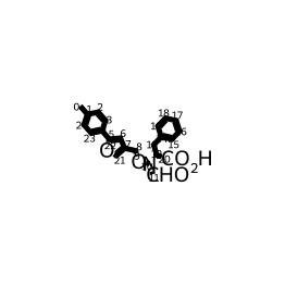 Cc1ccc(-c2cc(CON(C=O)C(Cc3ccccc3)C(=O)O)co2)cc1